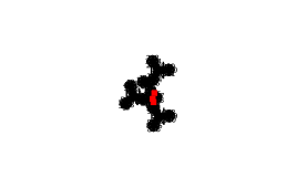 N#Cc1ccc(-n2c3ccccc3c3cc(-c4nc(-c5ccccc5)nc(-c5ccccc5)n4)ccc32)cc1-c1cc(-c2nc(-c3ccccc3)nc(-c3ccccc3)n2)ccc1-n1c2ccccc2c2cc(-c3nc(-c4ccccc4)nc(-c4ccccc4)n3)ccc21